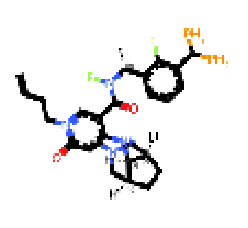 C=CCCn1cc(C(=O)N(F)[C@H](C)c2cccc(C(P)P)c2F)c(N[C@H]2[C@@H]3CC[C@H]2CN(C)C3)cc1=O